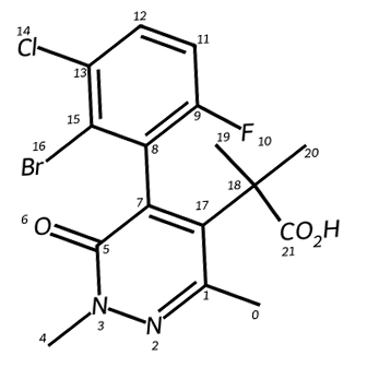 Cc1nn(C)c(=O)c(-c2c(F)ccc(Cl)c2Br)c1C(C)(C)C(=O)O